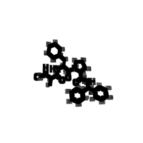 CC(NCl)C(=O)N[C@@H](CC1CCCCC1)C(=O)N1CCCC1C(=O)NC(c1ccccc1)c1ccccc1